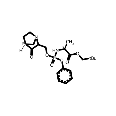 C[C@H](NP(=O)(OCC1C(=O)[C@H]2CCN1C2)Oc1ccccc1)C(=O)OCC(C)(C)C